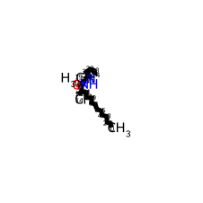 CCCCCCCCCCCCC(CC)C(=O)NC(C)c1ccccn1